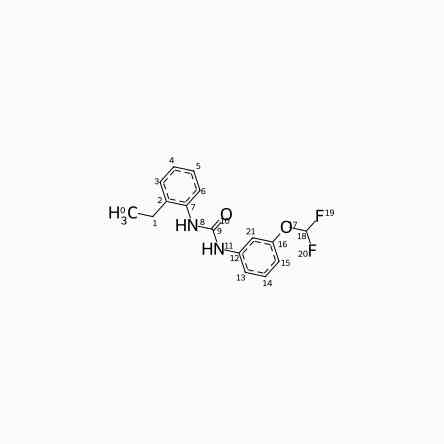 CCc1ccccc1NC(=O)Nc1cccc(OC(F)F)c1